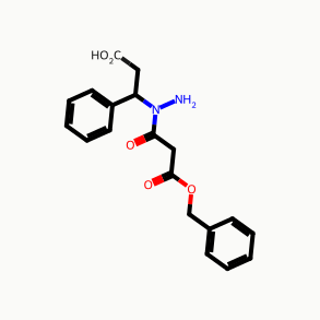 NN(C(=O)CC(=O)OCc1ccccc1)C(CC(=O)O)c1ccccc1